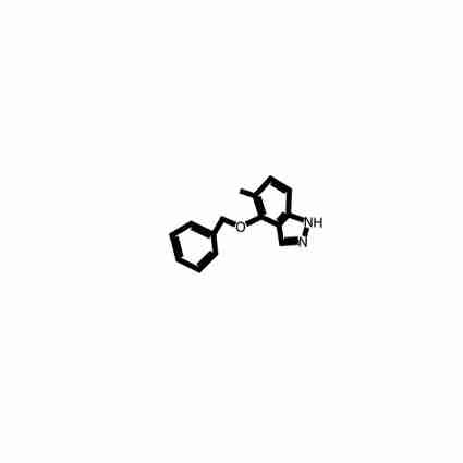 Cc1ccc2[nH]ncc2c1OCc1ccccc1